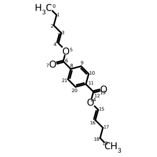 CCCC=COC(=O)c1ccc(C(=O)OC=CCCC)cc1